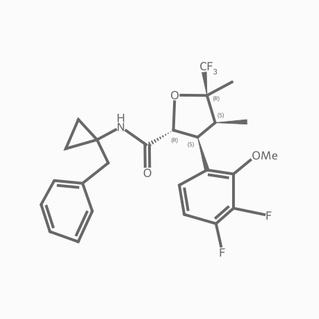 COc1c([C@H]2[C@H](C(=O)NC3(Cc4ccccc4)CC3)O[C@@](C)(C(F)(F)F)[C@H]2C)ccc(F)c1F